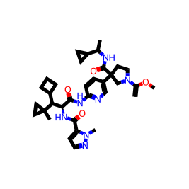 C=C(OC)N1CCC(C(=O)NC(C)C2CC2)(c2ccc(NC(=O)[C@@H](NC(=O)c3ccnn3C)C(C3CCC3)C3(C)CC3)nc2)C1